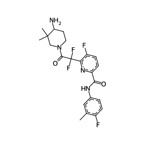 Cc1cc(NC(=O)c2ccc(F)c(C(F)(F)C(=O)N3CCC(N)C(C)(C)C3)n2)ccc1F